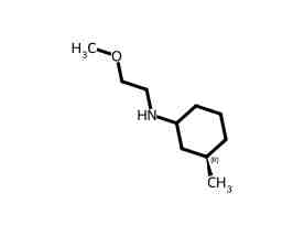 COCCNC1CCC[C@@H](C)C1